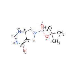 CC(C)(C)OC(=O)N1Cc2ncnc(Br)c2C1